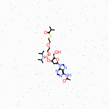 CC(=O)Nc1ncnc2c1ncn2[C@H]1C[C@@H](OP(OCCOCCSC(=O)C(C)C)N(C(C)C)C(C)C)[C@@H](CO)O1